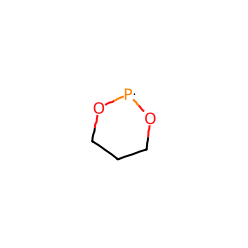 C1CO[P]OC1